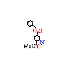 COC(=O)c1ccc(C(=O)OCc2ccccc2)cc1N(C)C